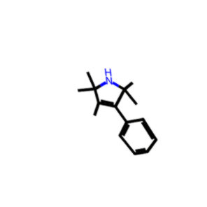 CC1=C(c2ccccc2)C(C)(C)NC1(C)C